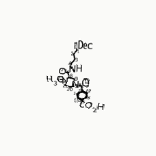 CCCCCCCCCCCCCCNC(=O)[C@H]1CN(C(=O)c2ccc(C(=O)O)cc2)CCN1C